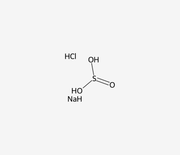 Cl.O=S(O)O.[NaH]